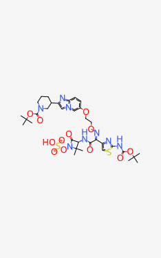 CC(C)(C)OC(=O)Nc1nc(/C(=N/OCCOc2ccc3nc(C4CCCN(C(=O)OC(C)(C)C)C4)cn3c2)C(=O)N[C@@H]2C(=O)N(OS(=O)(=O)O)C2(C)C)cs1